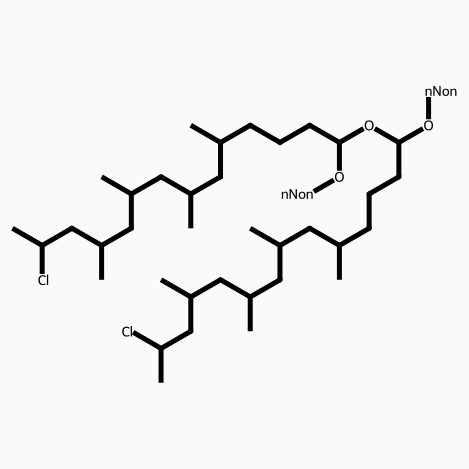 CCCCCCCCCOC(CCCC(C)CC(C)CC(C)CC(C)CC(C)Cl)OC(CCCC(C)CC(C)CC(C)CC(C)CC(C)Cl)OCCCCCCCCC